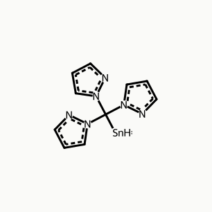 [SnH][C](n1cccn1)(n1cccn1)n1cccn1